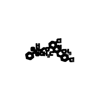 Cc1nc2c(Cl)ccc(OCC(=O)NS(=O)(=O)c3ccccc3)c2c(C)c1Cc1ccc(Cl)cc1